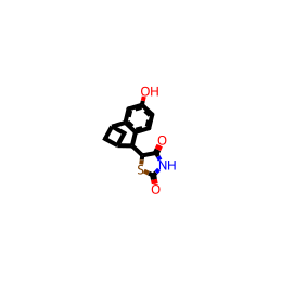 O=C1NC(=O)C(C2c3ccc(O)cc3C3CC2C3)S1